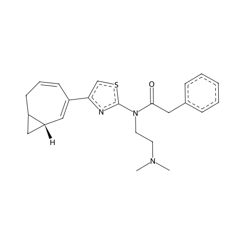 CN(C)CCN(C(=O)Cc1ccccc1)c1nc(C2=C[C@@H]3CC3CC=C2)cs1